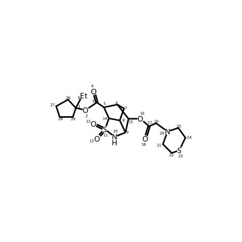 CCC1(OC(=O)C2C3CC4C(NS(=O)(=O)C42)C3OC(=O)CN2CCSCC2)CCCC1